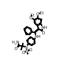 CCOc1cc2c(cc1OCC)/C(=C(/Nc1ccc(N(C(C)(C)C(N)=O)S(C)(=O)=O)cc1)c1ccccc1)C(=O)N2